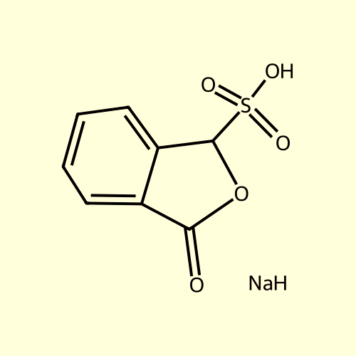 O=C1OC(S(=O)(=O)O)c2ccccc21.[NaH]